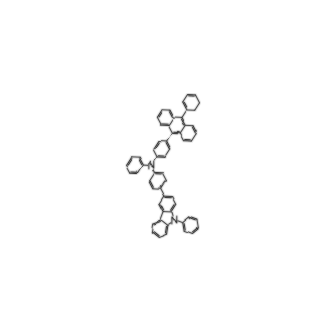 C1=CCCC(c2c3ccccc3c(-c3ccc(N(c4ccccc4)c4ccc(-c5ccc6c(c5)c5ccccc5n6-c5ccccc5)cc4)cc3)c3ccccc23)=C1